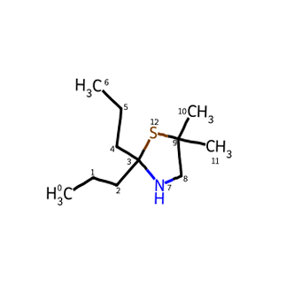 CCCC1(CCC)NCC(C)(C)S1